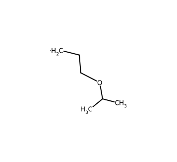 [CH2]CCOC(C)C